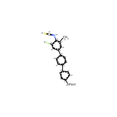 CCCCCc1ccc(-c2ccc(-c3cc(C)c(N=C=S)c(F)c3)cc2)cc1